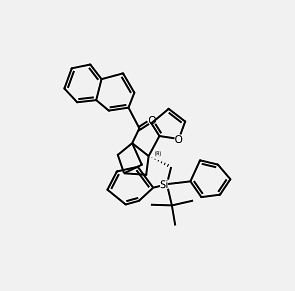 CC(C)(C)[Si](C[C@]1(c2ccco2)CC2CC1(C(=O)c1ccc3ccccc3c1)C2)(c1ccccc1)c1ccccc1